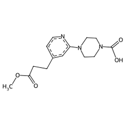 COC(=O)CCc1ccnc(N2CCN(C(=O)O)CC2)c1